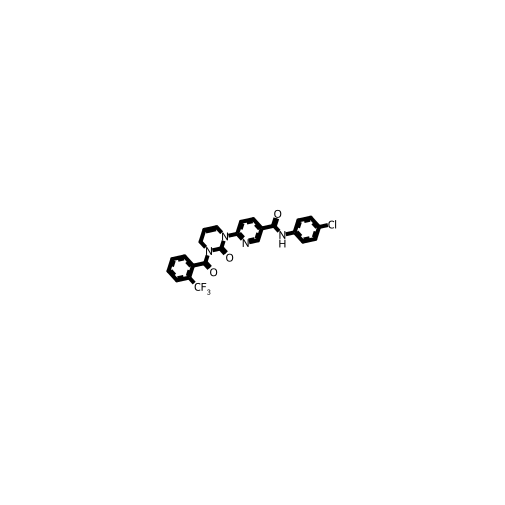 O=C(Nc1ccc(Cl)cc1)c1ccc(N2C=CCN(C(=O)c3ccccc3C(F)(F)F)C2=O)nc1